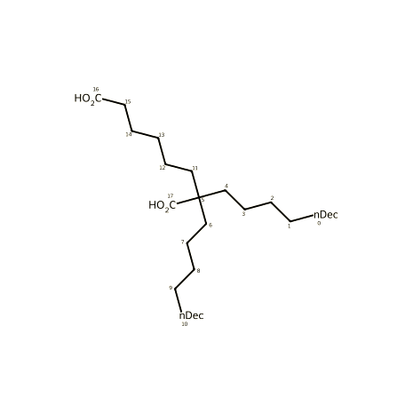 CCCCCCCCCCCCCCC(CCCCCCCCCCCCCC)(CCCCCC(=O)O)C(=O)O